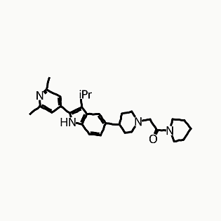 Cc1cc(-c2[nH]c3ccc(C4CCN(CC(=O)N5CCCCC5)CC4)cc3c2C(C)C)cc(C)n1